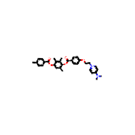 Cc1ccc(C(=O)Oc2cc(C)c(OC(=O)c3ccc(OCC[n+]4ccc(N(C)C)cc4)cc3)c(C)c2C)cc1